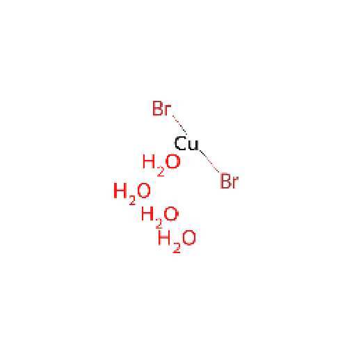 O.O.O.O.[Br][Cu][Br]